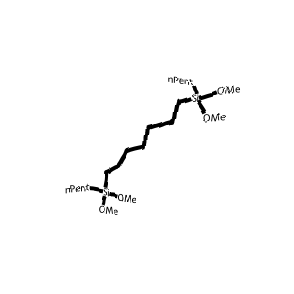 CCCCC[Si](CCCCCCC[Si](CCCCC)(OC)OC)(OC)OC